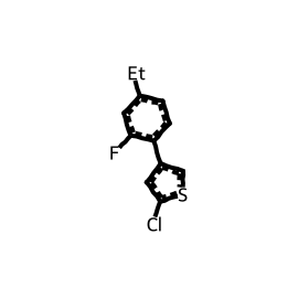 CCc1ccc(-c2csc(Cl)c2)c(F)c1